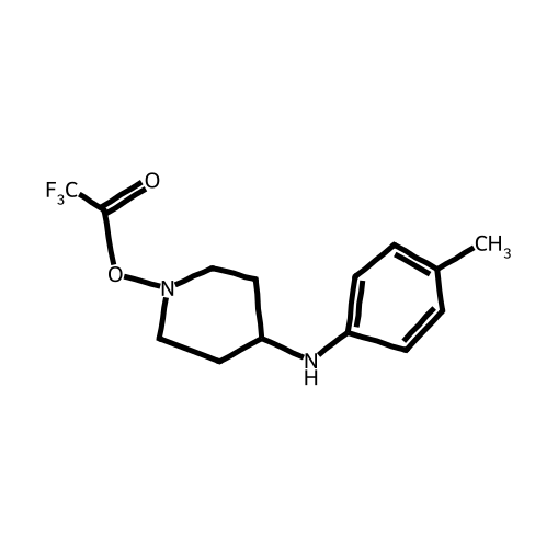 Cc1ccc(NC2CCN(OC(=O)C(F)(F)F)CC2)cc1